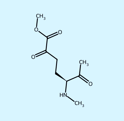 CN[C@@H](CCC(=O)C(=O)OC)C(C)=O